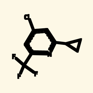 FC(F)(F)c1cc(Cl)cc(C2CC2)n1